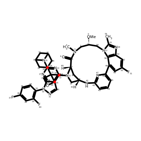 CO[C@H]1CN(C)C(=O)[C@@H]2C[C@@H](CN2c2nc(N3C4CC3CN(C3(C#N)COC3)C4)nc3c2cnn3-c2ccc(F)cc2F)Nc2cccc(n2)-c2cc(F)cc3nc(C)n(c23)C1